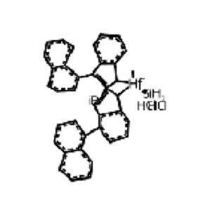 CC1=Cc2c(-c3cccc4ccccc34)cccc2[CH]1[Hf]([CH3])([CH3])(=[SiH2])[CH]1C(C(C)C)=C(c2cccc3ccccc23)c2ccccc21.Cl.Cl